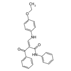 CCOc1ccc(NC=C(C(=O)Nc2ccccc2)C(=O)c2ccccc2)cc1